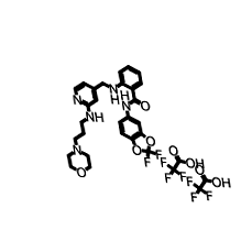 O=C(Nc1ccc2c(c1)OC(F)(F)O2)c1ccccc1NCc1ccnc(NCCCN2CCOCC2)c1.O=C(O)C(F)(F)F.O=C(O)C(F)(F)F